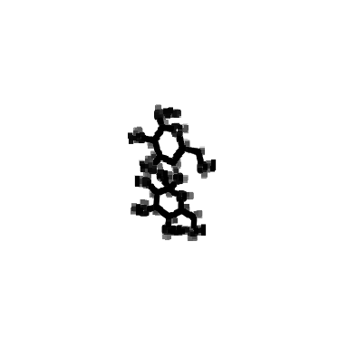 CO[C@H]1O[C@@H](CO)[C@H](O[C@]2(O)OC(CO)[C@@H](OC)[C@@H](O)C2O)C(O)C1O